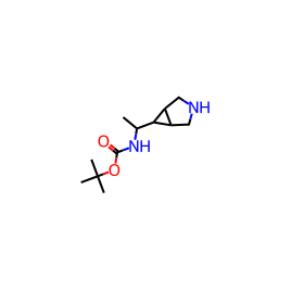 CC(NC(=O)OC(C)(C)C)C1C2CNCC21